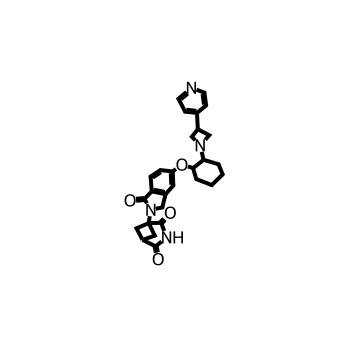 O=C1NC(=O)C2(N3Cc4cc(OC5CCCCC5N5CC(c6ccncc6)C5)ccc4C3=O)CC1C2